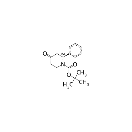 CC(C)(C)OC(=O)N1CCC(=O)C[C@H]1c1ccccc1